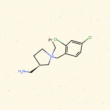 CC(C)C[N+]1(Cc2ccc(Cl)cc2Cl)CC[C@H](CN)C1